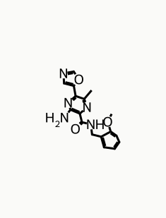 COc1ccccc1CNC(=O)c1nc(C)c(-c2cnco2)nc1N